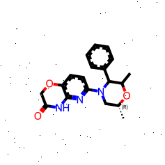 CC1O[C@H](C)CN(c2ccc3c(n2)NC(=O)CO3)C1c1ccccc1